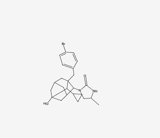 CC1CN(C2C3CC4CC(O)(C3)C(C3CC3)C2(Cc2ccc(Br)cc2)C4)C(=O)N1